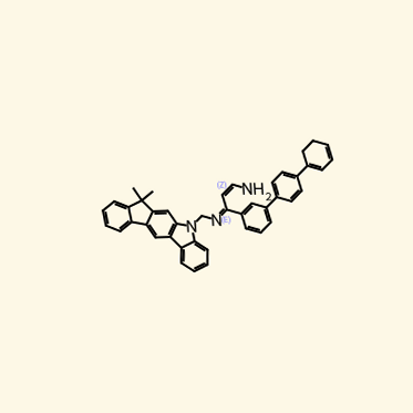 CC1(C)c2ccccc2-c2cc3c4ccccc4n(C/N=C(\C=C/N)c4cccc(-c5ccc(C6=CC=CCC6)cc5)c4)c3cc21